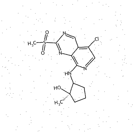 C[C@@]1(O)CCCC1Nc1ncc(Cl)c2cnc(S(C)(=O)=O)nc12